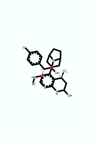 CC(C)NC[C@H](c1ccc(Cl)cc1)C(O)N1C2CCC1CN(c1ncnc3c1[C@@H](C(F)(F)F)CC(O)N3)C2